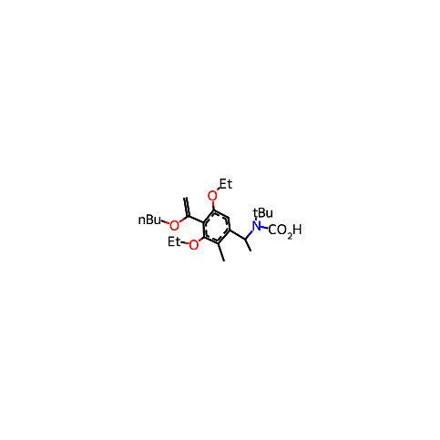 C=C(OCCCC)c1c(OCC)cc(C(C)N(C(=O)O)C(C)(C)C)c(C)c1OCC